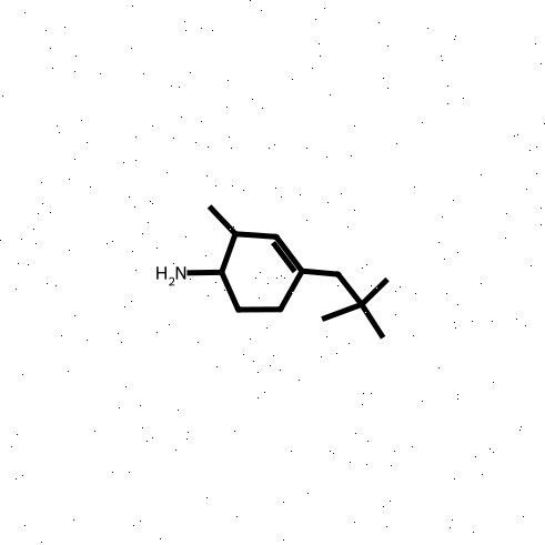 CC1C=C(CC(C)(C)C)CCC1N